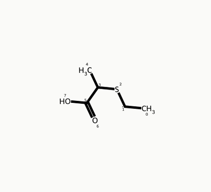 C[CH]SC(C)C(=O)O